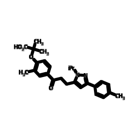 Cc1ccc(-c2cc(CCC(=O)c3ccc(OC(C)(C)C(=O)O)c(C)c3)n(C(C)C)n2)cc1